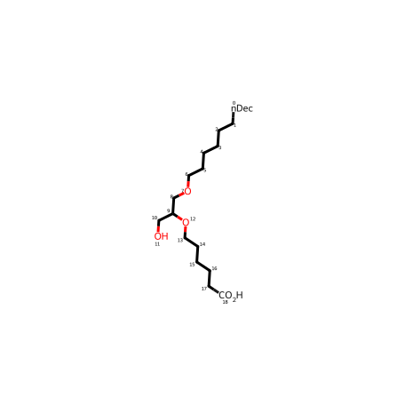 CCCCCCCCCCCCCCCCOCC(CO)OCCCCCC(=O)O